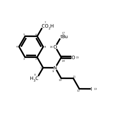 CC(c1cccc(C(=O)O)c1)N(CCCI)C(=O)OC(C)(C)C